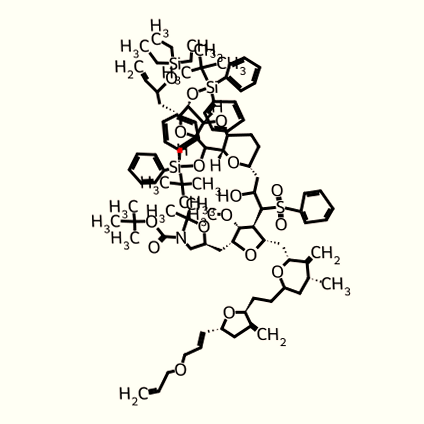 C=CCOC/C=C/[C@H]1CC(=C)[C@H](CCC2C[C@@H](C)C(=C)[C@@H](C[C@@H]3O[C@H](C[C@H]4CN(C(=O)OC(C)(C)C)C(C)(C)O4)[C@H](OC)[C@H]3C(C(O)C[C@H]3CCC4O[C@H]5[C@@H](O[Si](c6ccccc6)(c6ccccc6)C(C)(C)C)[C@@H](CC(C=C)O[Si](CC)(CC)CC)O[C@H]5C(O[Si](c5ccccc5)(c5ccccc5)C(C)(C)C)[C@H]4O3)S(=O)(=O)c3ccccc3)O2)O1